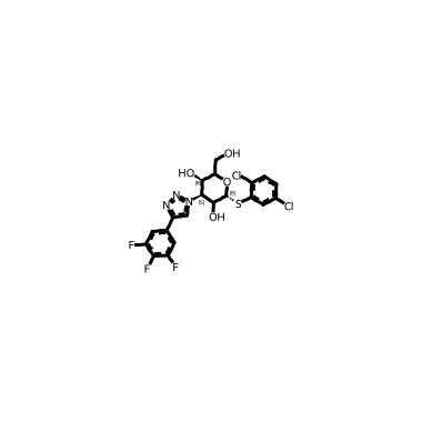 OCC1O[C@H](Sc2cc(Cl)ccc2Cl)C(O)[C@@H](n2cc(-c3cc(F)c(F)c(F)c3)nn2)[C@H]1O